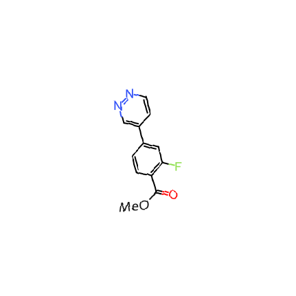 COC(=O)c1ccc(-c2ccnnc2)cc1F